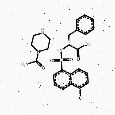 NC(=O)N1CCNCC1.O=C(O)[C@H](Cc1ccccc1)NS(=O)(=O)c1cccc2c(Cl)cccc12